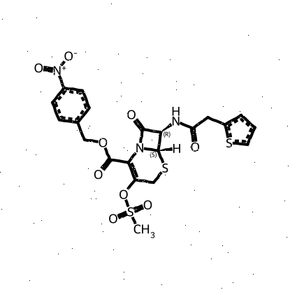 CS(=O)(=O)OC1=C(C(=O)OCc2ccc([N+](=O)[O-])cc2)N2C(=O)[C@@H](NC(=O)Cc3cccs3)[C@@H]2SC1